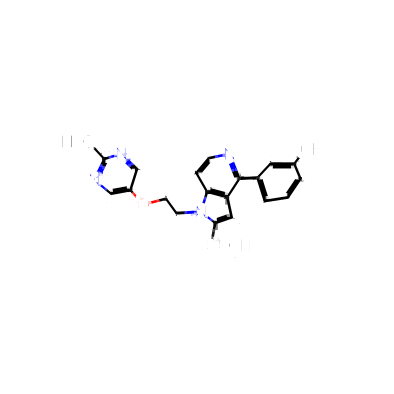 Cc1cccc(-c2nccc3c2cc(C(=O)O)n3CCOc2cnc(C)nc2)c1